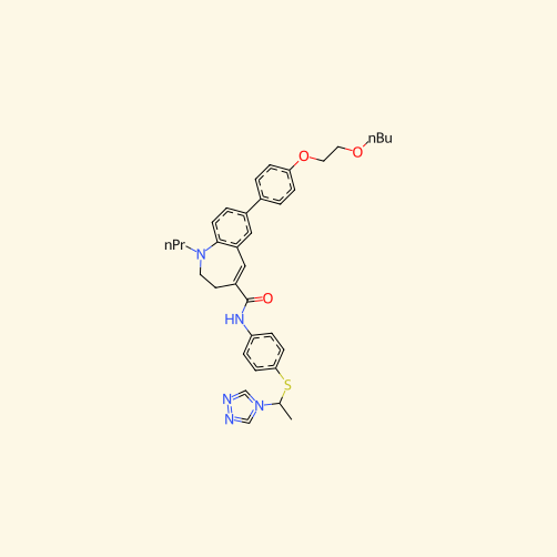 CCCCOCCOc1ccc(-c2ccc3c(c2)C=C(C(=O)Nc2ccc(SC(C)n4cnnc4)cc2)CCN3CCC)cc1